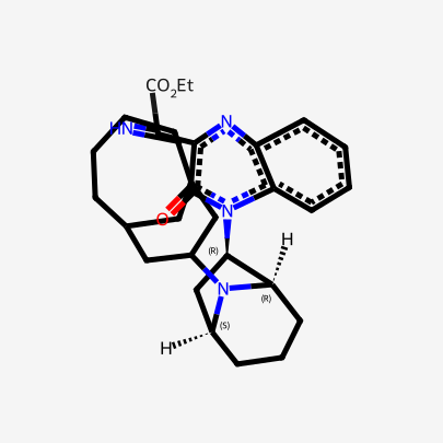 CCOC(=O)C(=N)c1nc2ccccc2n([C@@H]2C[C@@H]3CCC[C@H]2N3C2CC3CCCCC(C3)C2)c1=O